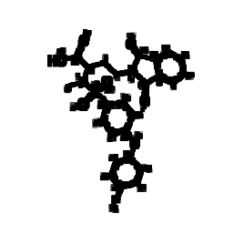 CN(C(CCN1C(=O)c2ccccc2C1=O)C(=O)O)S(=O)(=O)c1ccc(Oc2ccc(F)cc2)cc1